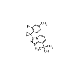 Cc1ccc(C2(c3nnc4c(C(C)(C)O)cccn34)CC2)c(F)c1